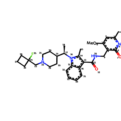 COc1cc(C)[nH]c(=O)c1CNC(=O)c1c(C)n([C@H](C)C2CCN(CC3(F)CCC3)CC2)c2ccccc12